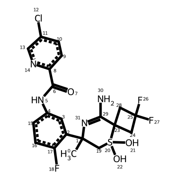 CC1(c2cc(NC(=O)c3ccc(Cl)cn3)ccc2F)CS(O)(O)C2(CC(F)(F)C2)C(N)=N1